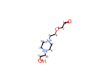 O=CCOCCN1CCN(CCO)CC1